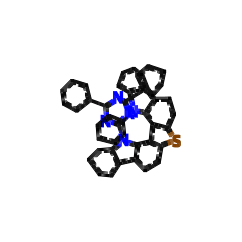 c1ccc(-c2nc(-c3ccccc3)nc(-n3c4ccccc4c4ccc5sc6ccc7c8ccccc8n(-c8ccccc8)c7c6c5c43)n2)cc1